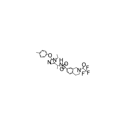 CCn1c(C(C)NS(=O)(=O)c2ccc3c(c2)CN(C(=O)C(F)(F)F)CC3)cnc1Oc1ccc(C)cc1